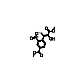 COC(=O)/C(O)=C(\C)c1ccc(C(=O)OC)cc1[N+](=O)[O-]